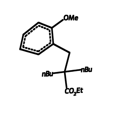 CCCCC(CCCC)(Cc1ccccc1OC)C(=O)OCC